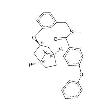 CN(Cc1cccc(O[C@H]2C[C@H]3CC[C@@H](C2)N3C)c1)C(=O)c1ccc(Oc2ccccc2)cc1